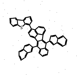 c1ccc2cc(-c3c4c(c(-c5ccc6ccccc6c5)c5ccccc35)-c3ccc(-c5cccc6c5sc5ccccc56)c5cccc-4c35)ccc2c1